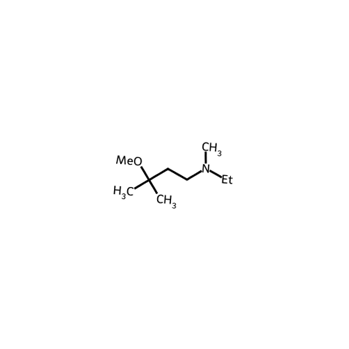 CCN(C)CCC(C)(C)OC